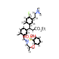 CCOC(=O)CC(c1ccc(C)c(CN2CC(C)Oc3ccccc3S2(O)O)c1)c1cc(CCN(C)C)c(F)cc1C